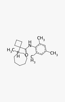 Cc1cc(C)c(NC(=O)C2([PH]3(C)CCCCCC3)CCC2)c(C)c1